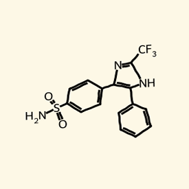 NS(=O)(=O)c1ccc(-c2nc(C(F)(F)F)[nH]c2-c2ccccc2)cc1